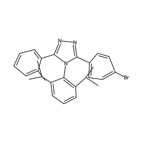 Cc1ccccc1-c1nnc(-c2ccc(Br)cc2)n1-c1c(C(C)C)cccc1C(C)C